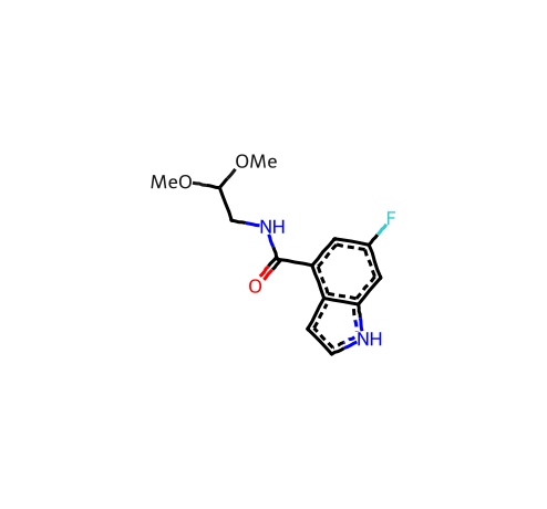 COC(CNC(=O)c1cc(F)cc2[nH]ccc12)OC